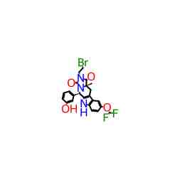 C[C@@]12Cc3c([nH]c4ccc(OC(F)F)cc34)[C@@H](c3cccc(O)c3)N1C(=O)N(CCBr)C2=O